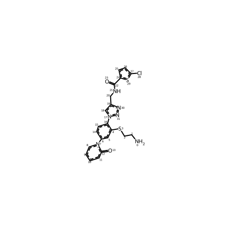 NCCSc1cc(-n2ccccc2=O)ccc1-n1cc(CNC(=O)c2ccc(Cl)s2)nn1